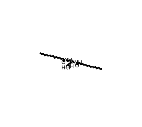 CCCCCCCCCCCCCCCC(=O)NCCN(CCO)CCNC(=O)CCCCCCCCCCCCCCC.Cl